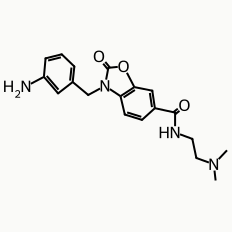 CN(C)CCNC(=O)c1ccc2c(c1)oc(=O)n2Cc1cccc(N)c1